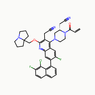 C=CC(=O)N1CCN(c2c(CC#N)c(OCC34CCCN3CCC4)nc3cc(-c4cccc5ccc(F)c(Cl)c45)c(F)cc23)C[C@@H]1CC#N